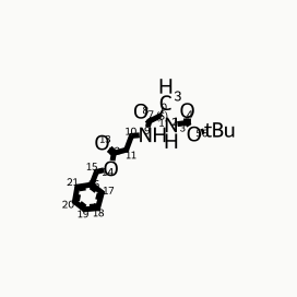 C[C@H](NC(=O)OC(C)(C)C)C(=O)NCCC(=O)OCc1ccccc1